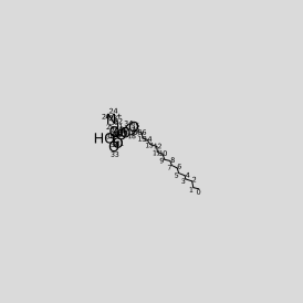 CCCCCCCCCCCCCCCCC[C@H]1CO[C@H](C(C[N+](C)(C)C)OP(=O)(O)OOC)CO1